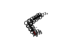 O=C([O-])C(=O)[O-].O=C([O-])C(=O)[O-].O=C([O-])C(=O)[O-].O=P([O-])([O-])[O-].O=P([O-])([O-])[O-].O=P([O-])([O-])[O-].[Al+3].[Al+3].[Al+3].[Al+3].[Al+3]